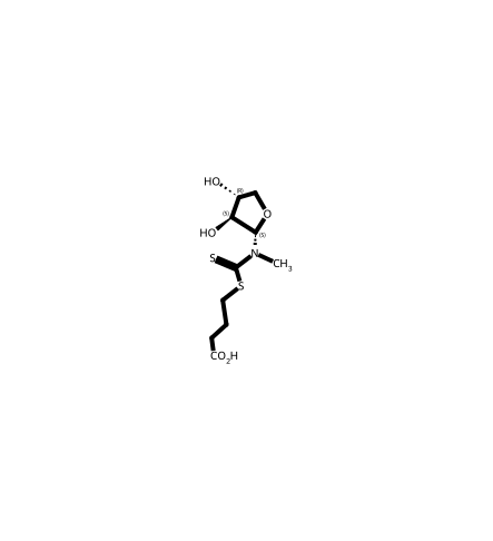 CN(C(=S)SCCCC(=O)O)[C@H]1OC[C@@H](O)[C@@H]1O